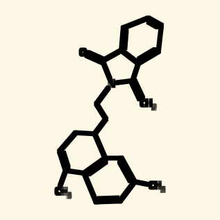 C=C1c2ccccc2C(=O)N1CCC1CC=C(C)c2ccc(C)cc21